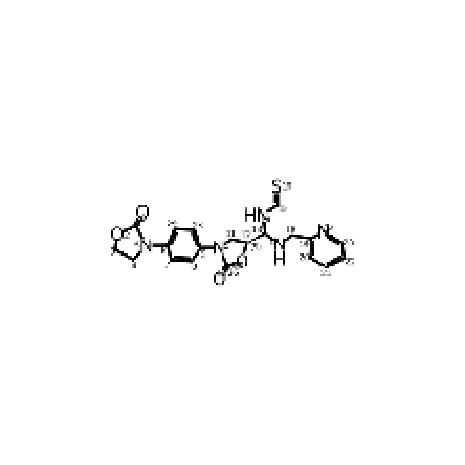 O=C1OCCN1c1ccc(N2C[C@@H](C(NC=S)NCc3ccccn3)OC2=O)cc1